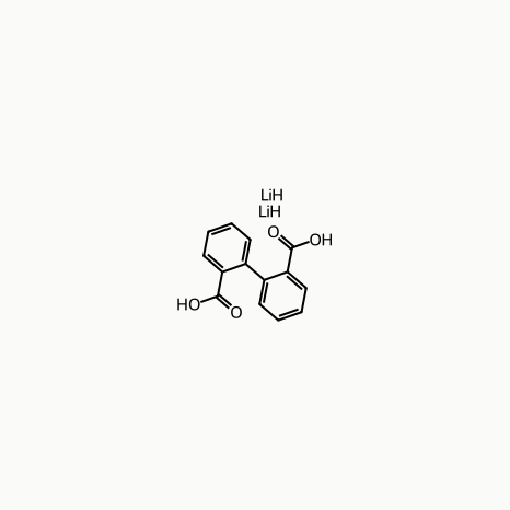 O=C(O)c1ccccc1-c1ccccc1C(=O)O.[LiH].[LiH]